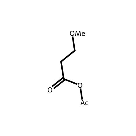 COCCC(=O)OC(C)=O